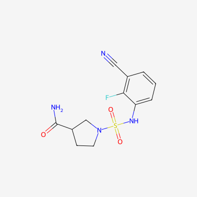 N#Cc1cccc(NS(=O)(=O)N2CCC(C(N)=O)C2)c1F